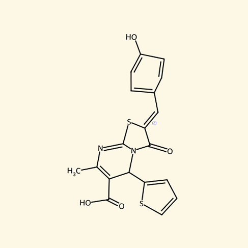 CC1=C(C(=O)O)C(c2cccs2)n2c(s/c(=C\c3ccc(O)cc3)c2=O)=N1